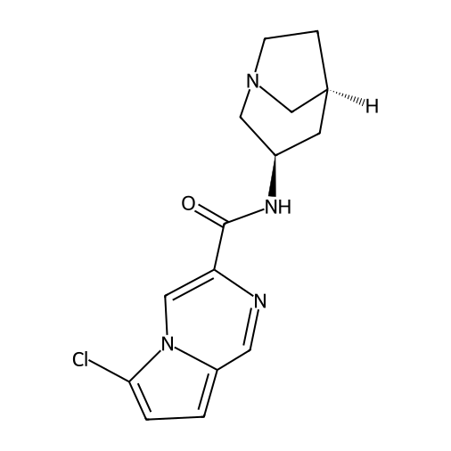 O=C(N[C@@H]1C[C@@H]2CCN(C2)C1)c1cn2c(Cl)ccc2cn1